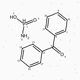 N[PH](=O)O.O=C(c1ccccc1)c1ccccc1